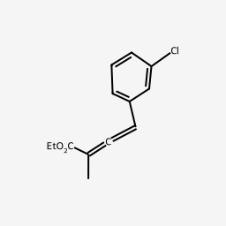 CCOC(=O)C(C)=C=Cc1cccc(Cl)c1